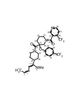 C/C=C\C=C(/NC)N1CCN(C(=O)C2(Oc3ccc(C(F)(F)F)cc3)CCCN(C(=O)c3cnccc3C(F)(F)F)C2)CC1